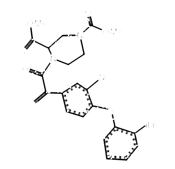 C=C(C(=O)N1CCN(C(=O)OC)CC1C(=O)OC)c1ccc(Sc2ccccc2C(C)C)c([N+](=O)[O-])c1